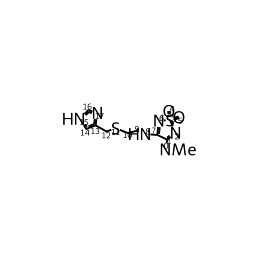 CNC1=NS(=O)(=O)N=C1NCCSCc1c[nH]cn1